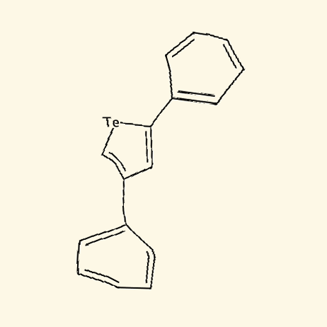 c1ccc(-c2c[te]c(-c3ccccc3)c2)cc1